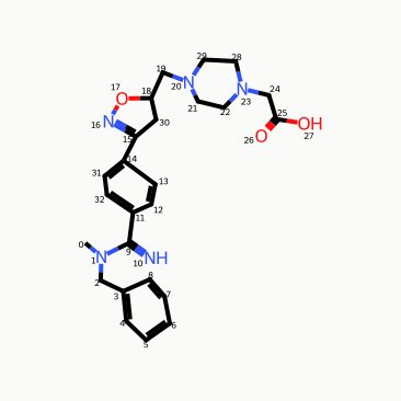 CN(Cc1ccccc1)C(=N)c1ccc(C2=NOC(CN3CCN(CC(=O)O)CC3)C2)cc1